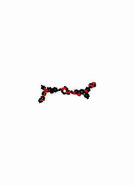 C=C1/C=C(/C=C/c2ccc3c(c2)C(C)(C)c2cc(N(c4ccc(C)cc4)c4ccc(-c5ccc6ccccc6c5)cc4)ccc2-3)\C=C/Cc2ccc(/C=C/c3ccc4c(c3)C(C)(C)c3cc(N(c5ccc(C)cc5)c5ccc(-c6ccc7ccccc7c6)cc5)ccc3-4)cc2C1(C)C